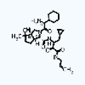 C=CCNC(=O)C(=O)C(CC1CC1)NC(=O)[C@@H]1[C@H]2CCC(C)(C)[C@H]2CN1C(=O)[C@@H](N)C1CCCCC1